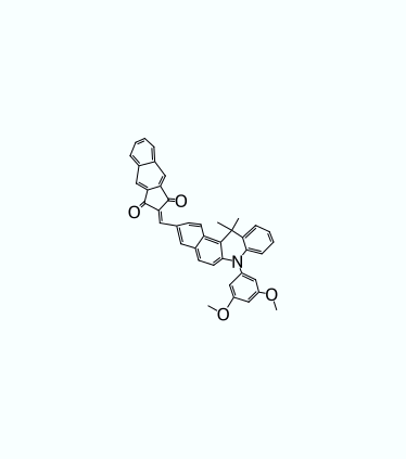 COc1cc(OC)cc(N2c3ccccc3C(C)(C)c3c2ccc2cc(C=C4C(=O)c5cc6ccccc6cc5C4=O)ccc32)c1